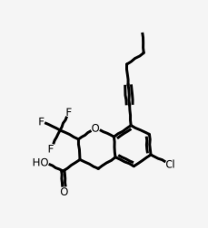 CCCC#Cc1cc(Cl)cc2c1OC(C(F)(F)F)C(C(=O)O)C2